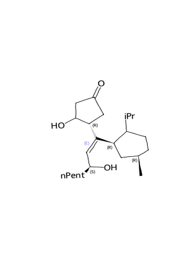 CCCCC[C@H](O)/C=C(/[C@H]1CC(=O)CC1O)[C@@H]1C[C@H](C)CCC1C(C)C